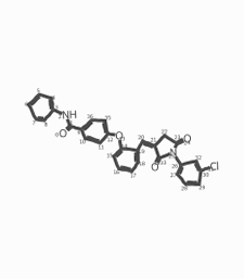 O=C(Nc1ccccc1)c1ccc(Oc2ccccc2/C=C2/CC(=O)N(c3cccc(Cl)c3)C2=O)cc1